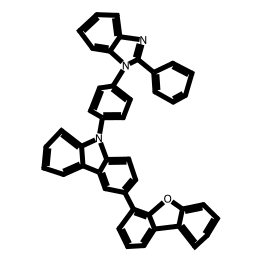 c1ccc(-c2nc3ccccc3n2-c2ccc(-n3c4ccccc4c4cc(-c5cccc6c5oc5ccccc56)ccc43)cc2)cc1